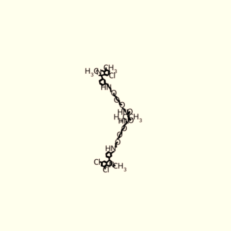 Cc1cc(Cl)cc2c1CN(C)CC2c1cccc(CNCCOCCOCCOCCNC(=O)C(C)(C)C(=O)NCCOCCOCCOCCNCc2cccc(C3CN(C)Cc4c(Cl)cc(Cl)cc43)c2)c1